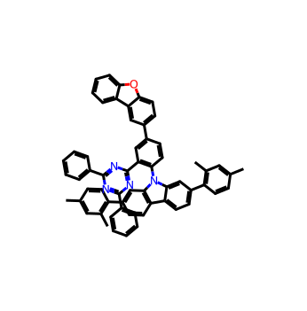 Cc1ccc(-c2ccc3c4ccc(-c5ccc(C)cc5C)cc4n(-c4ccc(-c5ccc6oc7ccccc7c6c5)cc4-c4nc(-c5ccccc5)nc(-c5ccccc5)n4)c3c2)c(C)c1